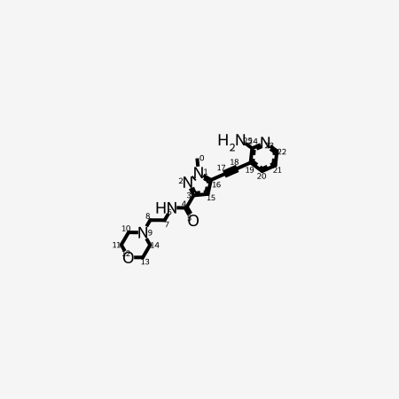 Cn1nc(C(=O)NCCN2CCOCC2)cc1C#Cc1cccnc1N